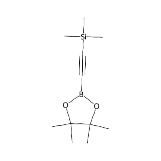 CC1(C)OB(C#C[Si](C)(C)C)OC1(C)C